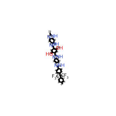 Cc1ccc(C(c2ccc(-c3nc4cc5nc(-c6cc(O)c(-c7nc8cc9nc(C)[nH]c9cc8[nH]7)cc6O)[nH]c5cc4[nH]3)cc2)(C(F)(F)F)C(F)(F)F)cc1